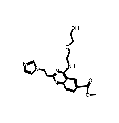 COC(=O)c1ccc2nc(CCn3ccnc3)nc(NCCOCCO)c2c1